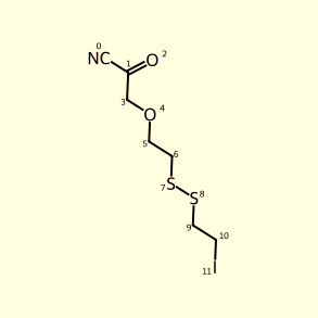 N#CC(=O)COCCSSCCI